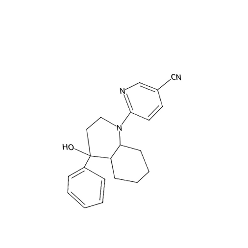 N#Cc1ccc(N2CCC(O)(c3ccccc3)C3CCCCC32)nc1